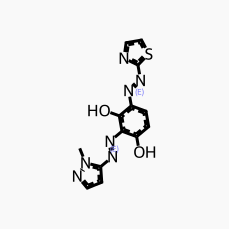 Cn1nccc1/N=N/c1c(O)ccc(/N=N/c2nccs2)c1O